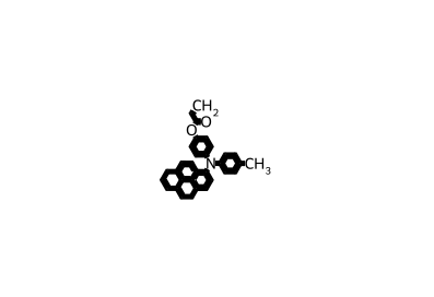 C=CC(=O)Oc1ccc(N(c2ccc(C)cc2)c2ccc3c4c5c(ccc24)CC=CC5=CC3)cc1